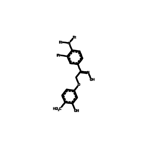 CCN(CC)c1ccc(/C(COc2ccc(C(=O)O)c(O)c2)=N/O)cc1C(C)C